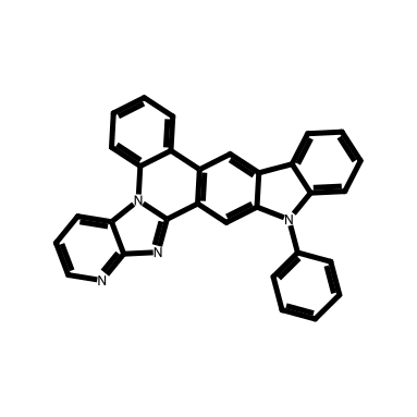 c1ccc(-n2c3ccccc3c3cc4c5ccccc5n5c6cccnc6nc5c4cc32)cc1